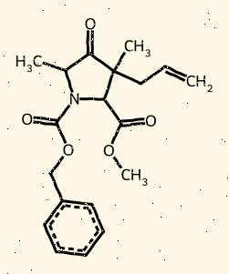 C=CCC1(C)C(=O)C(C)N(C(=O)OCc2ccccc2)C1C(=O)OC